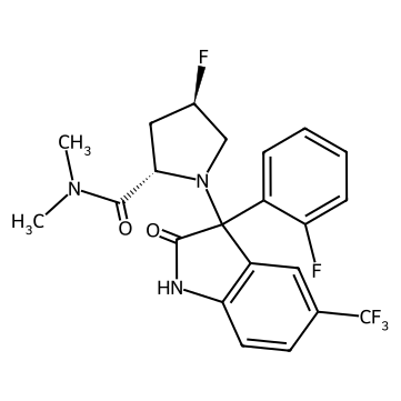 CN(C)C(=O)[C@@H]1C[C@@H](F)CN1C1(c2ccccc2F)C(=O)Nc2ccc(C(F)(F)F)cc21